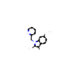 COc1ccc2c(C=O)c(C(C)C)n(Cc3ccccn3)c2c1